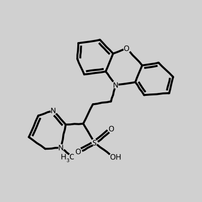 CN1CC=CN=C1C(CCN1c2ccccc2Oc2ccccc21)S(=O)(=O)O